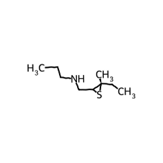 CCCNCC1S[C@@]1(C)CC